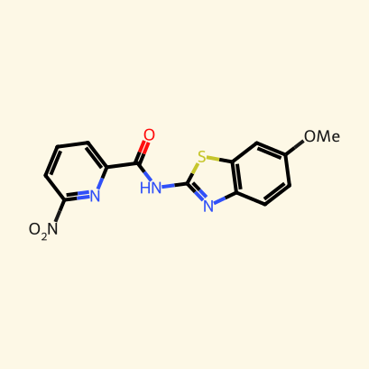 COc1ccc2nc(NC(=O)c3cccc([N+](=O)[O-])n3)sc2c1